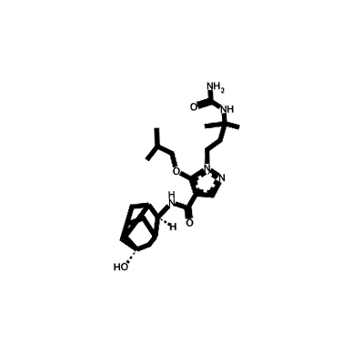 CC(C)COc1c(C(=O)N[C@H]2C3CC4CC2C[C@](O)(C4)C3)cnn1CCC(C)(C)NC(N)=O